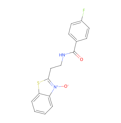 O=C(NCCc1sc2ccccc2[n+]1[O-])c1ccc(F)cc1